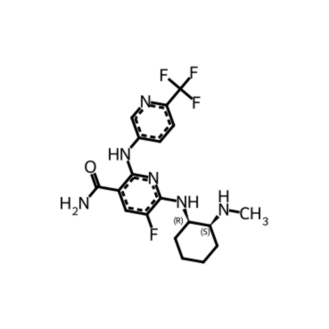 CN[C@H]1CCCC[C@H]1Nc1nc(Nc2ccc(C(F)(F)F)nc2)c(C(N)=O)cc1F